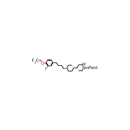 CCCCC[Si@H]1CC[C@H]([C@H]2CC[C@H](CCCCc3ccc(OCC(F)(F)F)c(F)c3)CC2)CC1